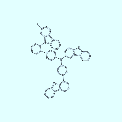 Fc1ccc2c3ccccc3n(-c3ccccc3-c3ccc(N(c4ccc(-c5cccc6c5oc5ccccc56)cc4)c4ccc5sc6ccccc6c5c4)cc3)c2c1